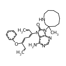 C=C/C(=C\C=C(/C=C)n1c(=O)n(C2(C)CCCCCCCNC2)c2ncnc(N)c21)Oc1ccccc1